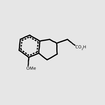 COc1cccc2c1CCC(CC(=O)O)C2